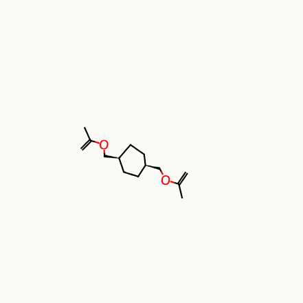 C=C(C)OC[C@H]1CC[C@@H](COC(=C)C)CC1